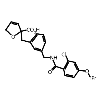 CC(C)Oc1ccc(C(=O)NCc2cccc(CC3(C(=O)O)C=CCO3)c2)c(Cl)c1